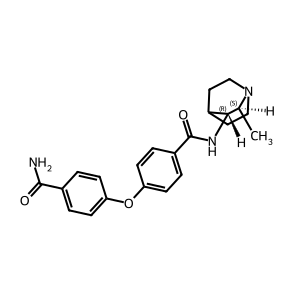 C[C@H]1[C@H](NC(=O)c2ccc(Oc3ccc(C(N)=O)cc3)cc2)C2CCN1CC2